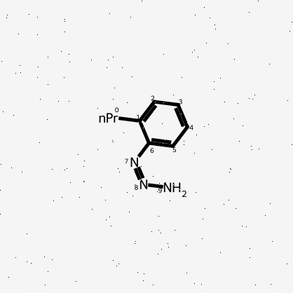 CCCc1ccccc1/N=N\N